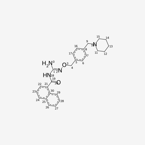 NC(=NOCc1ccc(CN2CCCCC2)cc1)NC(=O)c1cccc2ccccc12